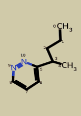 CCCC(C)c1cccnn1